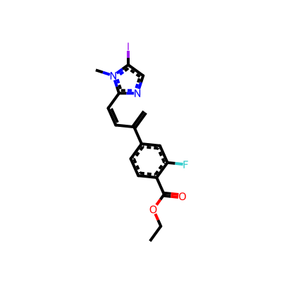 C=C(/C=C\c1ncc(I)n1C)c1ccc(C(=O)OCC)c(F)c1